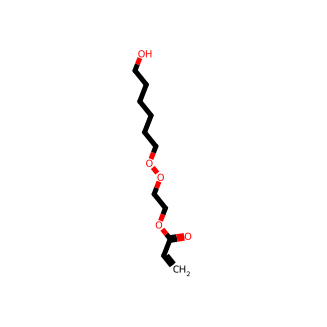 C=CC(=O)OCCOOCCCCCCO